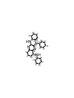 c1ccc(Nc2nc3cccc(Nc4ccccc4)c3nc2Nc2ccccc2)cc1